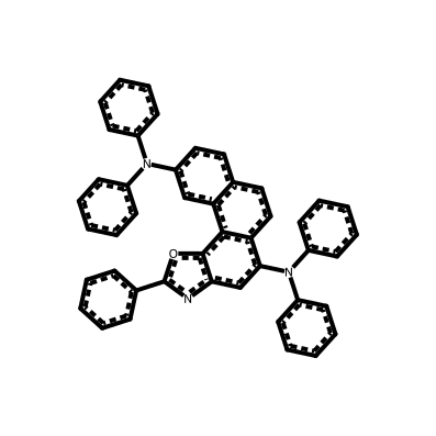 c1ccc(-c2nc3cc(N(c4ccccc4)c4ccccc4)c4ccc5ccc(N(c6ccccc6)c6ccccc6)cc5c4c3o2)cc1